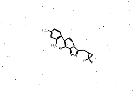 Cc1cc(C(F)(F)F)ccc1-c1ccn2c(CC3CC3(F)F)nnc2c1Br